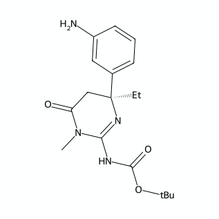 CC[C@@]1(c2cccc(N)c2)CC(=O)N(C)C(NC(=O)OC(C)(C)C)=N1